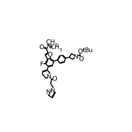 CN(C)C(=O)c1cc2c(F)c(C3=CCCN(C(=O)CCn4cccn4)C3)cc(-c3ccc(C4CN(C(=O)OC(C)(C)C)C4)cc3)c2o1